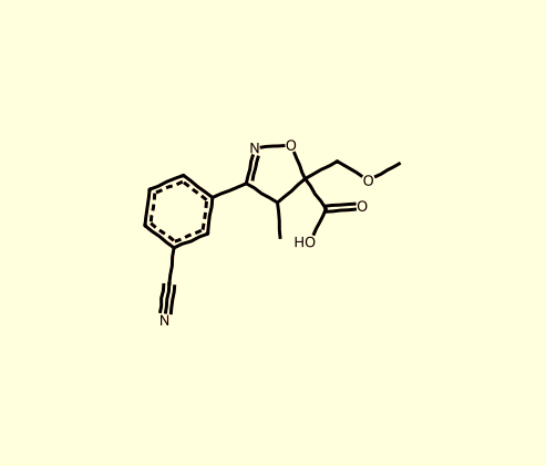 COCC1(C(=O)O)ON=C(c2cccc(C#N)c2)C1C